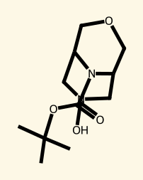 CC(C)(C)OC(=O)N1C2COCC1CN(O)C2